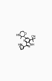 CC1NCCO[C@H]1c1cc(C(C)(C)C#N)c2[nH]nc(-c3ccn[nH]3)c2n1